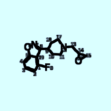 Fc1cccc2onc(C3CCN(CC4CO4)CC3)c12